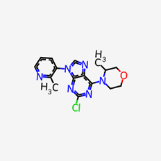 Cc1ncccc1-n1cnc2c(N3CCOCC3C)nc(Cl)nc21